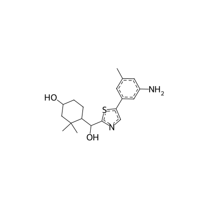 Cc1cc(N)cc(-c2cnc(C(O)C3CCC(O)CC3(C)C)s2)c1